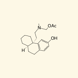 CC(=O)OCN(C)CC[C@@]12CCCC[C@@H]1CCc1ccc(O)cc12